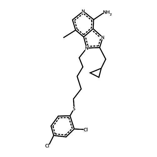 Cc1cnc(N)c2nc(CC3CC3)n(CCCCCSc3ccc(Cl)cc3Cl)c12